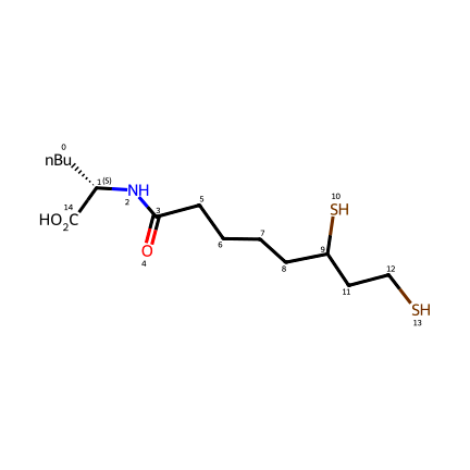 CCCC[C@H](NC(=O)CCCCC(S)CCS)C(=O)O